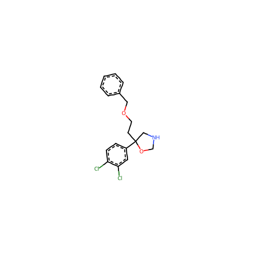 Clc1ccc(C2(CCOCc3ccccc3)CNCO2)cc1Cl